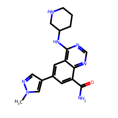 Cn1cc(-c2cc(C(N)=O)c3ncnc(NC4CCCNC4)c3c2)cn1